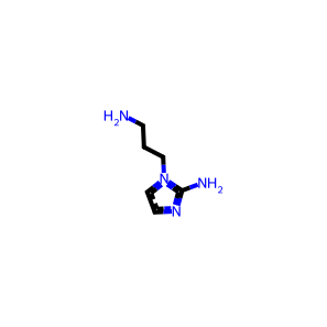 NCCCn1ccnc1N